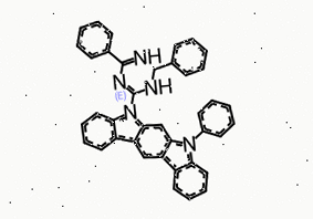 N=C(/N=C(\NCc1ccccc1)n1c2ccccc2c2cc3c4ccccc4n(-c4ccccc4)c3cc21)c1ccccc1